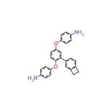 Nc1ccc(Oc2ccc(Oc3ccc(N)cc3)c(-c3ccc4c(c3)CC4)c2)cc1